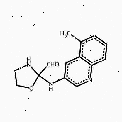 Cc1cccc2ncc(NC3(C=O)NCCO3)cc12